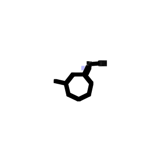 CC1CCCC/C(=N\O)C1